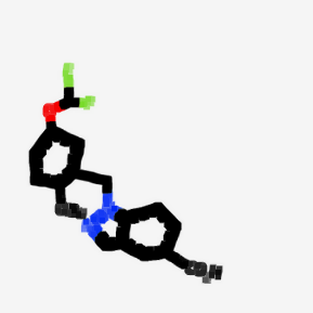 CC(C)COc1ccc(OC(F)F)cc1Cn1ncc2cc(C(=O)O)ccc21